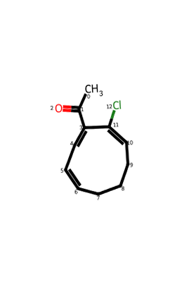 CC(=O)C1=C/C=C\CCC/C=C\1Cl